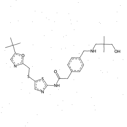 CC(C)(CO)CNCc1ccc(CC(=O)Nc2ncc(SCc3ncc(C(C)(C)C)o3)s2)cc1